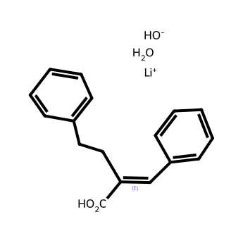 O.O=C(O)/C(=C/c1ccccc1)CCc1ccccc1.[Li+].[OH-]